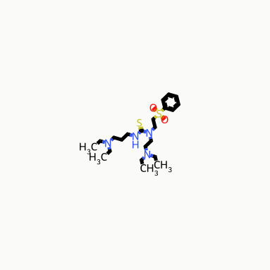 CCN(CC)CCCNC(=S)N(CCN(CC)CC)CCS(=O)(=O)c1ccccc1